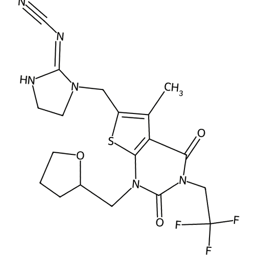 Cc1c(CN2CCN/C2=N\C#N)sc2c1c(=O)n(CC(F)(F)F)c(=O)n2CC1CCCO1